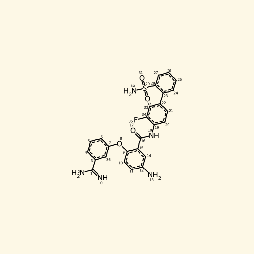 N=C(N)c1cccc(Oc2ccc(N)cc2C(=O)Nc2ccc(-c3ccccc3S(N)(=O)=O)cc2F)c1